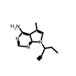 C#CC(CC)n1cc(C)c2c(N)ncnc21